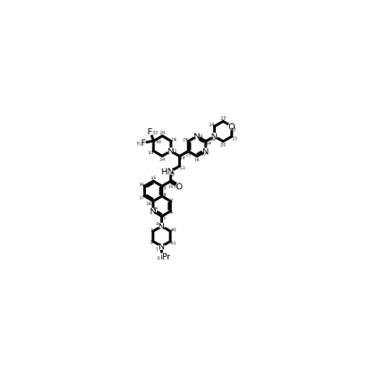 CC(C)N1CCN(c2ccc3c(C(=O)NCC(c4cnc(N5CCOCC5)nc4)N4CCC(F)(F)CC4)cccc3n2)CC1